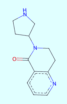 O=C1c2cccnc2CCN1C1CCNC1